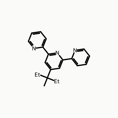 CCC(C)(CC)c1cc(-c2ccccn2)nc(-c2ccccn2)c1